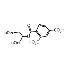 CCCCCCCCCCCC(CCCCCCCC)OC(=O)c1ccc(C(=O)O)cc1C(=O)O